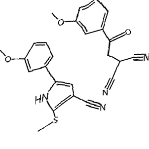 COc1cccc(-c2cc(C#N)c(SC)[nH]2)c1.COc1cccc(C(=O)CC(C#N)C#N)c1